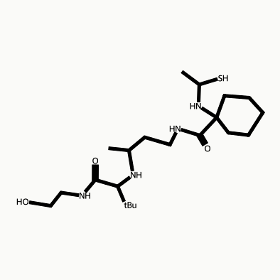 CC(S)NC1(C(=O)NCCC(C)NC(C(=O)NCCO)C(C)(C)C)CCCCC1